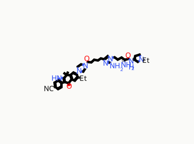 CCc1cc2c(cc1N1CCN(C(=O)CCCCc3cn(CCC[C@H](N)C(=O)N[C@@H]4CCN(CC)C4)c(N)n3)CC1)C(C)(C)c1[nH]c3cc(C#N)ccc3c1C2=O